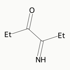 CCC(=N)C(=O)CC